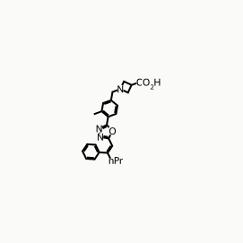 CCCC(=Cc1nnc(-c2ccc(CN3CC(C(=O)O)C3)cc2C)o1)c1ccccc1